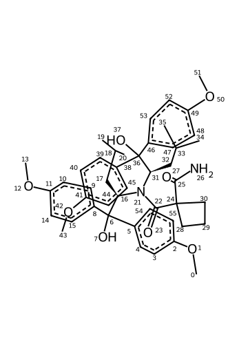 COc1ccc(C(O)(c2ccc(OC)cc2)[C@@H](CC(C)C)N(C(=O)C2(C(N)=O)CCC2)[C@H](CC(C)C)C(O)(c2ccc(OC)cc2)c2ccc(OC)cc2)cc1